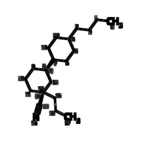 CCCCC1CCC([C@@H]2CCC[C@@](C#N)(CCC)C2)CC1